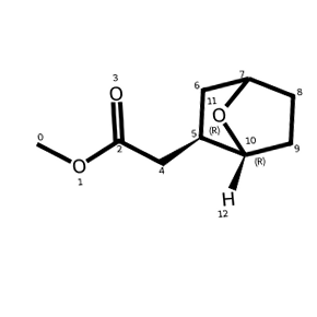 COC(=O)C[C@H]1CC2CC[C@H]1O2